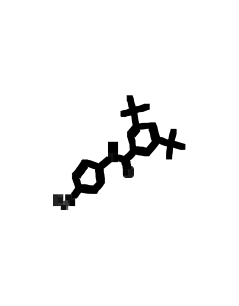 CC(C)(C)c1cc(C(=O)Nc2ccc(N)cc2)cc(C(C)(C)C)c1